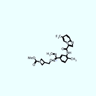 C=N/C(=N\OCC1CN(C(=O)OC)C1)c1ccc(C)c(NC(=O)c2cnc3ccc(C(F)(F)F)cn23)c1